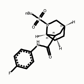 CCCCS(=O)(=O)N1C[C@H]2CC[C@@H]1[C@H](C(=O)Nc1ccc(F)cc1)C2